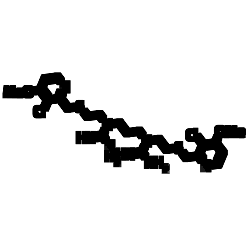 COc1ccnc(CSCCN(CCCN(CCSCc2nccc(OC)c2Cl)C(=N)N)C(=N)N)c1Cl